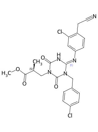 COC(=O)[C@@H](C)Cn1c(=O)[nH]/c(=N\c2ccc(CC#N)c(Cl)c2)n(Cc2ccc(Cl)cc2)c1=O